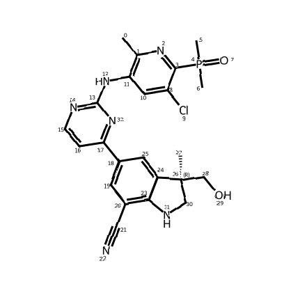 Cc1nc(P(C)(C)=O)c(Cl)cc1Nc1nccc(-c2cc(C#N)c3c(c2)[C@@](C)(CO)CN3)n1